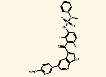 COc1ncc(-c2cnc3[nH]cc(C(=O)c4c(F)ccc(NS(=O)(=O)N(C)c5ccccc5)c4F)c3c2)cn1